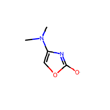 CN(C)c1coc([O])n1